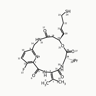 CC(C)=C1NC(=O)c2nc(ccc2F)CNC(=O)C[C@@H](/C=C/CCS)OC(=O)[C@H](C(C)C)NC1=O